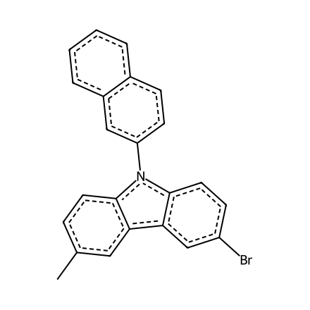 Cc1ccc2c(c1)c1cc(Br)ccc1n2-c1ccc2ccccc2c1